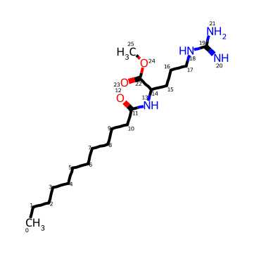 CCCCCCCCCCCC(=O)NC(CCCNC(=N)N)C(=O)OC